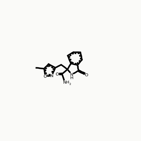 Cc1cc(CC2(C(N)=O)NC(=O)c3ccccc32)no1